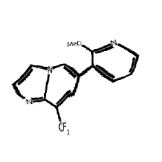 COc1ncccc1-c1cc(C(F)(F)F)c2nccn2c1